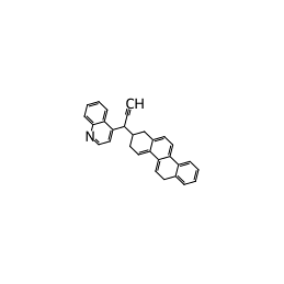 C#CC(c1ccnc2ccccc12)C1CC=c2c(ccc3c2=CCc2ccccc2-3)C1